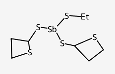 CC[S][Sb]([S]C1CCS1)[S]C1CCS1